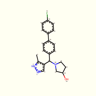 Cc1[nH]ncc1C(c1ccc(-c2ccc(F)cc2)cc1)N1CCC(O)C1